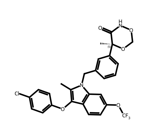 Cc1c(Oc2ccc(Cl)cc2)c2ccc(OC(F)(F)F)cc2n1Cc1cccc([C@]2(C)OCONC2=O)c1